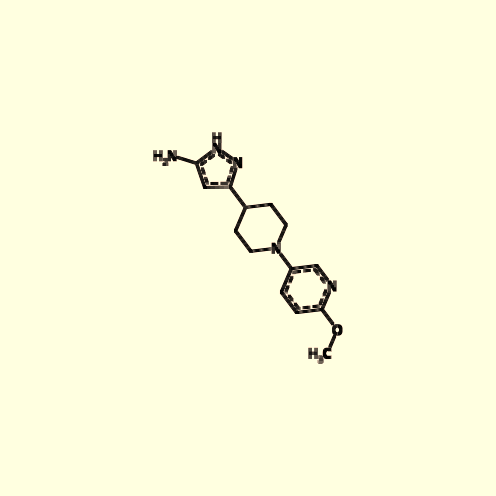 COc1ccc(N2CCC(c3cc(N)[nH]n3)CC2)cn1